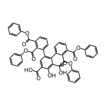 O=C(O)c1cc(-c2cccc(C(=O)Oc3ccccc3)c2C(=O)Oc2ccccc2)c(-c2cccc(C(=O)Oc3ccccc3)c2C(=O)Oc2ccccc2)c(C(=O)O)c1O